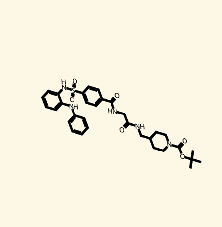 CC(C)(C)OC(=O)N1CCC(CNC(=O)CNC(=O)c2ccc(S(=O)(=O)Nc3ccccc3Nc3ccccc3)cc2)CC1